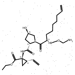 C=CCCCCC[C@H](BOCN)C(=O)N1C[C@H](O)C[C@H]1C(=O)N[C@]1(C(=O)OCC)C[C@H]1C=C